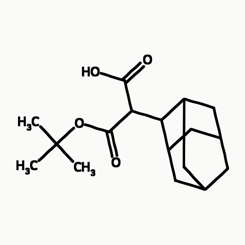 CC(C)(C)OC(=O)C(C(=O)O)C1C2CC3CC(C2)CC1C3